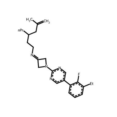 C=C(C)CC(CCC)CCN=C1CN(c2ncc(-c3cccc(CC)c3F)cn2)C1